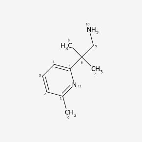 Cc1cccc(C(C)(C)CN)n1